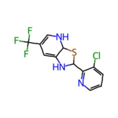 FC(F)(F)C1=CNC2SC(c3ncccc3Cl)NC2=C1